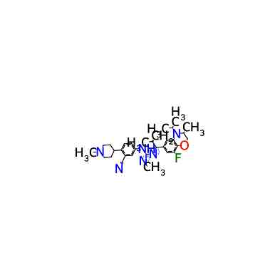 C=C(C)/C(=N\C(=N/C)Nc1ccc(C2CCN(C)CC2)c(C#N)c1)c1cc(F)c2c(c1)N(C(C)C)C(C)CO2